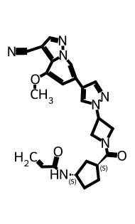 C=CC(=O)N[C@H]1CC[C@H](C(=O)N2CC(n3cc(-c4cc(OC)c5c(C#N)cnn5c4)cn3)C2)C1